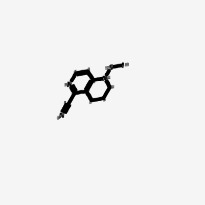 N#Cc1nccc2c1CCCN2SI